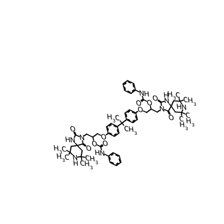 CC1(C)CC2(CC(C)(C)N1)NC(=O)N(CC(COc1ccc(C(C)(C)c3ccc(OCC(CN4C(=O)NC5(CC(C)(C)NC(C)(C)C5)C4=O)OC(=O)Nc4ccccc4)cc3)cc1)OC(=O)Nc1ccccc1)C2=O